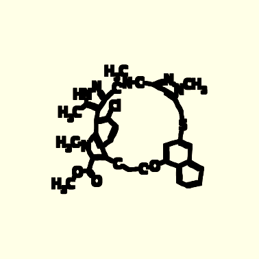 COC(=O)c1c2c3ccc(Cl)c(c3n1C)-c1c(n[nH]c1C)CN(C)Cc1cc(n(C)n1)CSc1cc(c3ccccc3c1)OCCC2